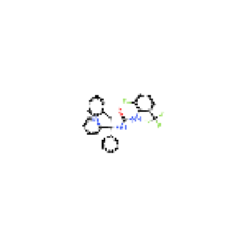 O=C(Nc1c(F)cccc1C(F)(F)F)NC(Cc1ccccc1)(c1ccccc1)c1ccccn1